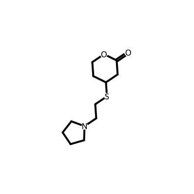 O=C1CC(SCCN2CCCC2)CCO1